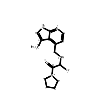 CC(C)C(NCc1ccnc2[nH]cc(C(=O)O)c12)C(=O)N1CCCC1